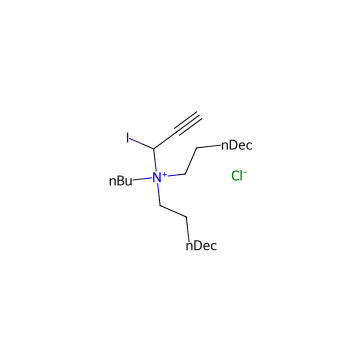 C#CC(I)[N+](CCCC)(CCCCCCCCCCCC)CCCCCCCCCCCC.[Cl-]